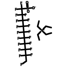 CC[N+](CC)(CC)CC.O=S(=O)([O-])C(F)(F)C(F)(F)C(F)(F)C(F)(F)C(F)(F)C(F)(F)C(F)(F)C(F)(F)C(F)(F)CF